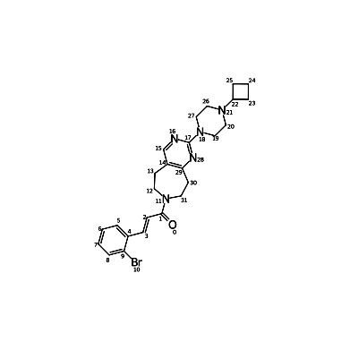 O=C(C=Cc1ccccc1Br)N1CCc2cnc(N3CCN(C4CCC4)CC3)nc2CC1